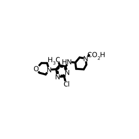 Cc1c(NC2CCCN(C(=O)O)C2)nc(Cl)nc1N1CCOCC1